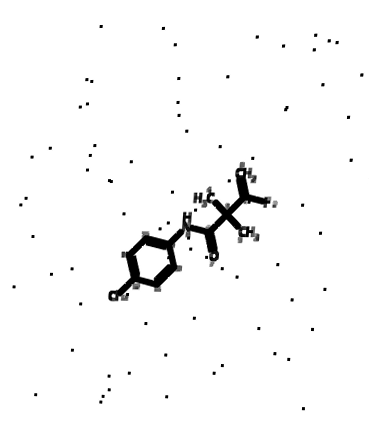 C=C(F)C(C)(C)C(=O)Nc1ccc(Cl)cc1